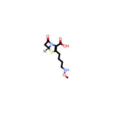 CONCCCCC1=C(C(=O)O)N2C(=O)C[C@H]2S1